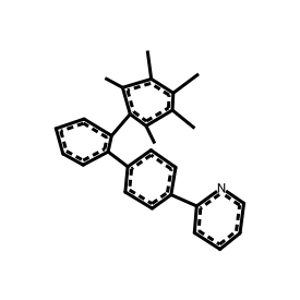 Cc1c(C)c(C)c(-c2ccccc2-c2ccc(-c3ccccn3)cc2)c(C)c1C